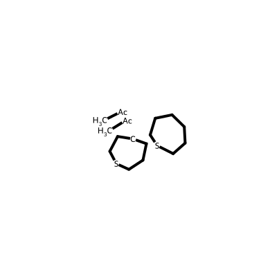 C1CCCSCC1.C1CCCSCC1.CC(C)=O.CC(C)=O